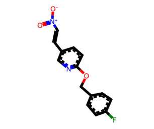 O=[N+]([O-])C=Cc1ccc(OCc2ccc(F)cc2)nc1